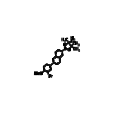 COc1ccc(-c2ccc3cc(B4OC(C)(C)C(C)(C)O4)ccc3c2)cc1C(C)C